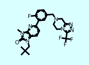 Cn1c(=O)n(CC(C)(C)C)c2ccc(-c3cc(CN4CCn5c(nnc5C(F)(F)F)C4)ccc3F)nc21